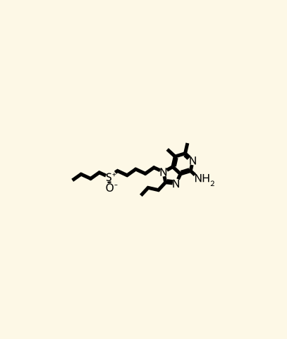 CCCC[S+]([O-])CCCCCn1c(CCC)nc2c(N)nc(C)c(C)c21